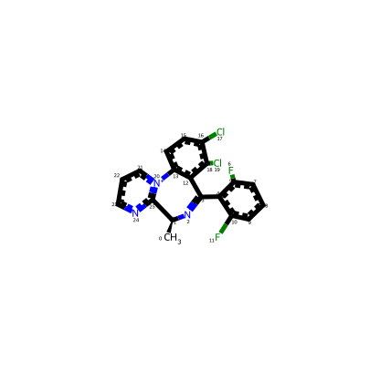 C[C@@H]1N=C(c2c(F)cccc2F)c2c(ccc(Cl)c2Cl)-[n+]2cccnc21